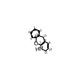 [c]1ccc2c(c1)OC1=C(C=CCN1)C2